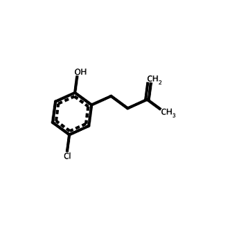 C=C(C)CCc1cc(Cl)ccc1O